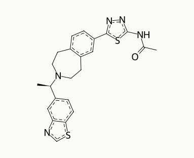 CC(=O)Nc1nnc(-c2ccc3c(c2)CCN([C@H](C)c2ccc4scnc4c2)CC3)s1